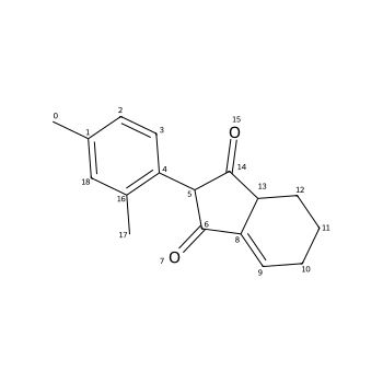 Cc1ccc(C2C(=O)C3=CCCCC3C2=O)c(C)c1